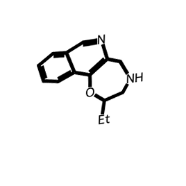 CCC1CNCc2ncc3ccccc3c2O1